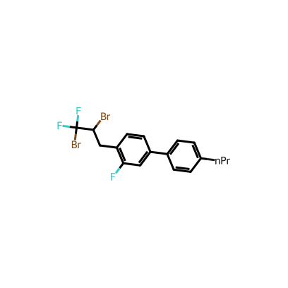 CCCc1ccc(-c2ccc(CC(Br)C(F)(F)Br)c(F)c2)cc1